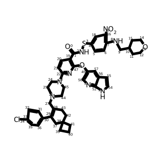 O=C(NSc1ccc(NCC2CCOCC2)c([N+](=O)[O-])c1)c1ccc(N2CCN(CC3=C(c4ccc(Cl)cc4)CC4(CCC4)CC3)CC2)nc1Oc1cnc2[nH]ccc2c1